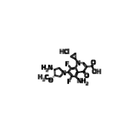 CO[C@H]1CN(c2c(F)c(N)c3c(=O)c(C(=O)O)cn(C4CC4)c3c2F)C[C@H]1N.Cl